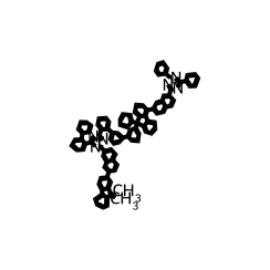 CC1(C)c2ccccc2-c2ccc(-c3ccc4ccc(-c5nc(-c6ccccc6-c6ccccc6)nc(-c6ccccc6-c6cccc(-c7cccc(C8(c9ccccc9)c9ccccc9-c9c(-c%10ccc%11ccc(-c%12nc(-c%13ccccc%13)nc(-c%13ccccc%13)n%12)cc%11c%10)cccc98)c7)c6)n5)cc4c3)cc21